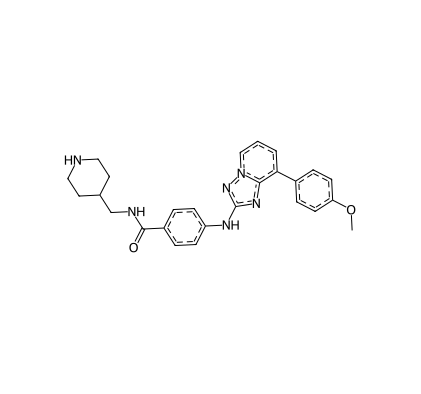 COc1ccc(-c2cccn3nc(Nc4ccc(C(=O)NCC5CCNCC5)cc4)nc23)cc1